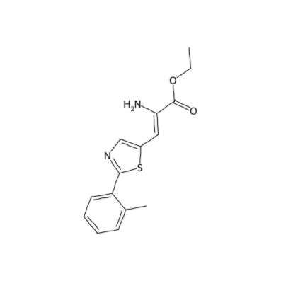 CCOC(=O)/C(N)=C/c1cnc(-c2ccccc2C)s1